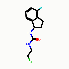 O=C(NCCCl)NC1CCc2c(F)cccc21